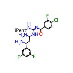 CCCC(C)N/C(=N/C(=O)c1ccc(Cl)c(F)c1)NC(N)CC(N)c1cc(F)cc(F)c1